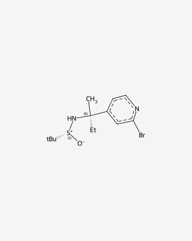 CC[C@@](C)(N[S@+]([O-])C(C)(C)C)c1ccnc(Br)c1